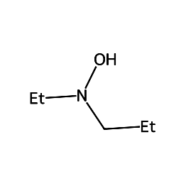 [CH2]CCN(O)CC